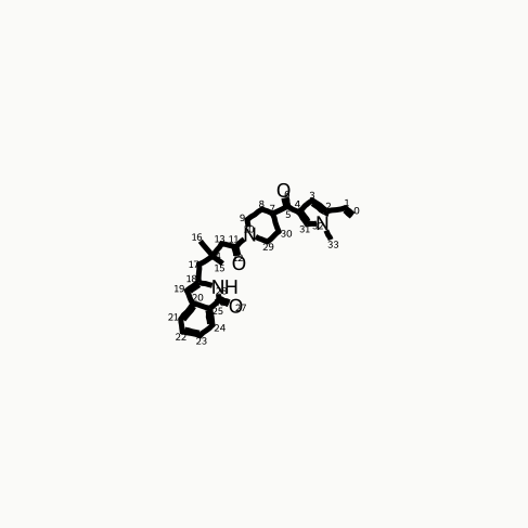 C=Cc1cc(C(=O)C2CCN(C(=O)CC(C)(C)Cc3cc4ccccc4c(=O)[nH]3)CC2)cn1C